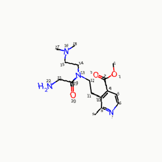 COC(=O)c1ccnc(C)c1CCN(CCN(C)C)C(=O)CN